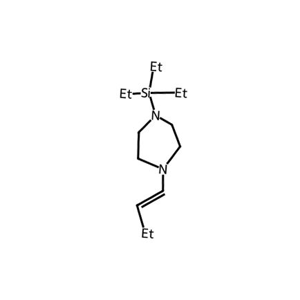 CCC=CN1CCN([Si](CC)(CC)CC)CC1